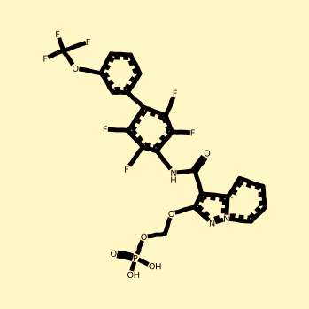 O=C(Nc1c(F)c(F)c(-c2cccc(OC(F)(F)F)c2)c(F)c1F)c1c(OCOP(=O)(O)O)nn2ccccc12